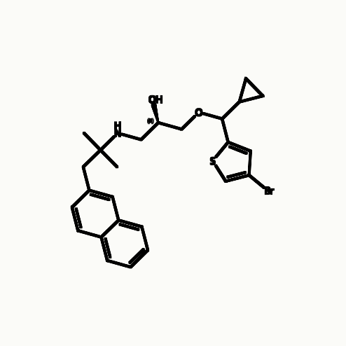 CC(C)(Cc1ccc2ccccc2c1)NC[C@@H](O)COC(c1cc(Br)cs1)C1CC1